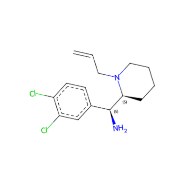 C=CCN1CCCC[C@H]1[C@@H](N)c1ccc(Cl)c(Cl)c1